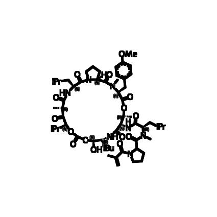 C=C(C)C(=O)N1CCCC1C(=O)N(C)[C@H](CC(C)C)C(=O)N[C@@H]1C(=O)N[C@H]([C@@H](C)CC)[C@@H](O)CC(=O)O[C@@H](C(C)C)C(=O)[C@H](C)C(=O)N[C@@H](CC(C)C)C(=O)N2CCC[C@H]2C(=O)N(C)[C@@H](Cc2ccc(OC)cc2)C(=O)O[C@@H]1C